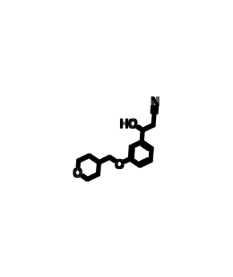 N#CCC(O)c1cccc(OCC2CCOCC2)c1